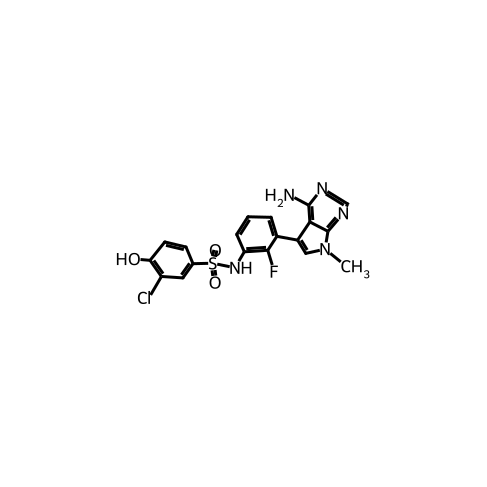 Cn1cc(-c2cccc(NS(=O)(=O)c3ccc(O)c(Cl)c3)c2F)c2c(N)ncnc21